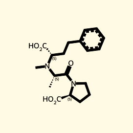 C[C@@H](C(=O)N1CCC[C@H]1C(=O)O)N(C)[C@@H](CCc1ccccc1)C(=O)O